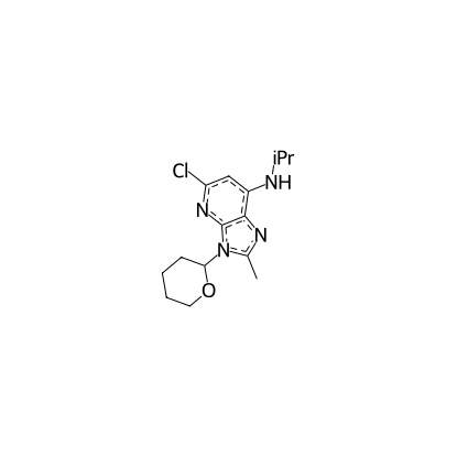 Cc1nc2c(NC(C)C)cc(Cl)nc2n1C1CCCCO1